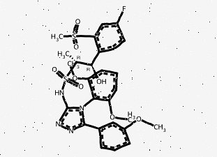 COc1cccc(-c2nnc(NS(=O)(=O)[C@H](C)[C@H](O)c3ccc(F)cc3S(C)(=O)=O)n2-c2c(OC)cccc2OC)c1